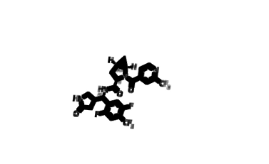 O=C1CC([C@H](NC(=O)[C@H]2C[C@H]3C[C@H]3N2C(=O)c2ccnc(C(F)(F)F)c2)c2cc(F)c(C(F)(F)F)cc2F)CN1